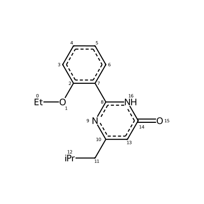 CCOc1ccccc1-c1nc(CC(C)C)cc(=O)[nH]1